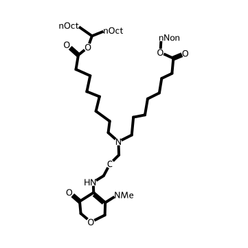 CCCCCCCCCOC(=O)CCCCCCCN(CCCCCCCC(=O)OC(CCCCCCCC)CCCCCCCC)CCCNC1=C(NC)COCC1=O